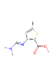 COC(=O)c1sc(C)cc1/N=C/N(C)C